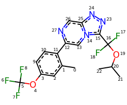 Cc1cc(OC(F)(F)F)ccc1-c1cn2c(C(F)(F)OC(C)C)nnc2cn1